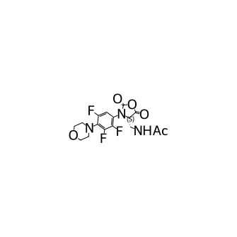 CC(=O)NC[C@H]1C(=O)OC(=O)N1c1cc(F)c(N2CCOCC2)c(F)c1F